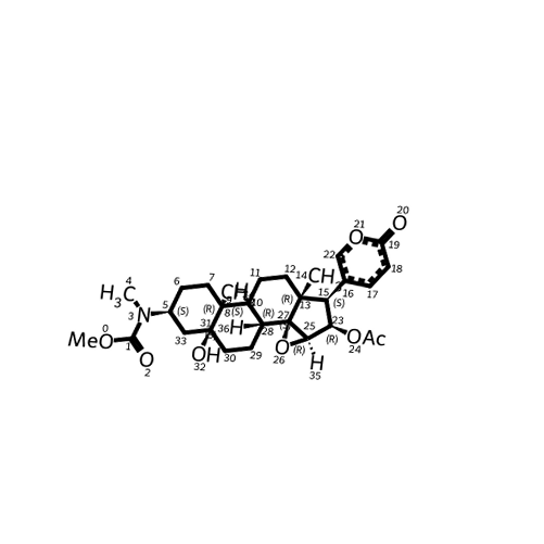 COC(=O)N(C)[C@H]1CC[C@]2(C)[C@H]3CC[C@]4(C)[C@@H](c5ccc(=O)oc5)[C@@H](OC(C)=O)[C@H]5O[C@]54[C@@H]3CC[C@]2(O)C1